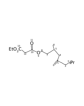 C=C(CC(C)C)CC(C)CCOC(=O)CC(=O)OCC